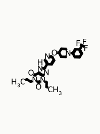 CCCn1c(=O)c2[nH]c(-c3ccc(OC4CCN(c5cccc(C(F)(F)F)c5)CC4)nc3)nc2n(CCC)c1=O